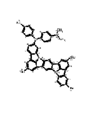 C[SiH](C)c1ccc(N(c2ccc(C#N)cc2)c2ccc3c4cc(C(C)(C)C)cc5c6cc7c(cc6n(c3c2)c45)c2cc(C(C)(C)C)cc3c4cc(C(C)(C)C)ccc4n7c32)cc1